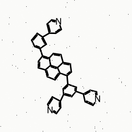 c1cc(-c2ccncc2)cc(-c2ccc3ccc4c(-c5cc(-c6ccncc6)cc(-c6ccncc6)c5)ccc5ccc2c3c54)c1